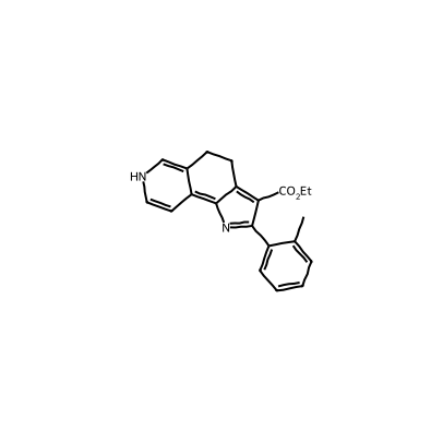 CCOC(=O)C1=C2CCC3=CNC=CC3=C2N=C1c1ccccc1C